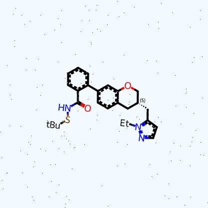 CCn1nccc1C[C@H]1COc2cc(-c3ccccc3C(=O)NSC(C)(C)C)ccc2C1